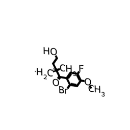 [CH2][C@](C)(CCO)C(=O)c1cc(F)c(OC)cc1Br